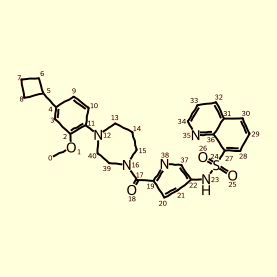 COc1cc(C2CCC2)ccc1N1CCCN(C(=O)c2ccc(NS(=O)(=O)c3cccc4cccnc34)cn2)CC1